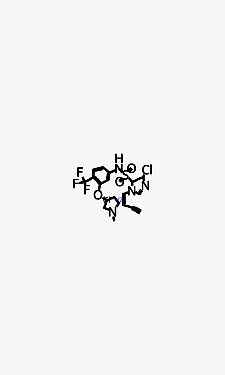 C#C/C=C\N1C=NC(Cl)C1S(=O)(=O)Nc1ccc(C(F)(F)F)c(O[C@H]2CCN(C)C2)c1